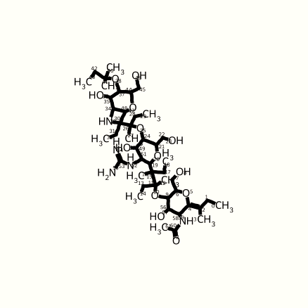 CC/C(C)=C1\OC(CO)C(OC(C)(CC)C(C)(CC)C2OC(CO)C(OC(C)(CC)C3(CC)NC4C(O)C(OC(C)(C)CC)C(CO)OC43)C(O)C2NC(=N)N)C(O)C1NC(C)=O